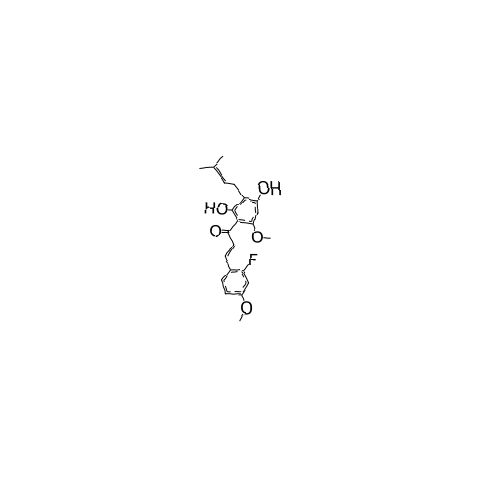 COc1ccc(/C=C/C(=O)c2c(OC)cc(O)c(CC=C(C)C)c2O)c(F)c1